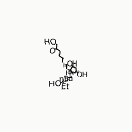 CCCCC(O)(CC)CC=C[C@@H]1[C@H]2C[C@H](CCCCC(=O)CO)O[C@@H]2C[C@H]1O